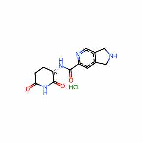 Cl.O=C1CC[C@H](NC(=O)c2cc3c(cn2)CNC3)C(=O)N1